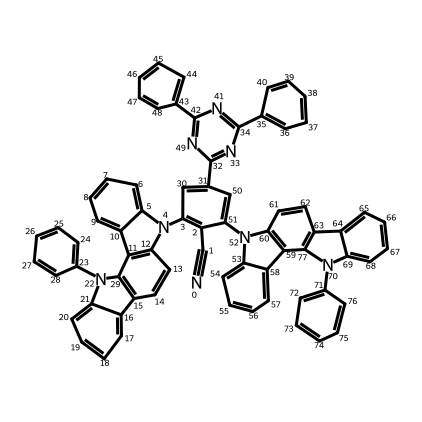 N#Cc1c(-n2c3ccccc3c3c2ccc2c4ccccc4n(-c4ccccc4)c23)cc(-c2nc(-c3ccccc3)nc(-c3ccccc3)n2)cc1-n1c2ccccc2c2c1ccc1c3ccccc3n(-c3ccccc3)c12